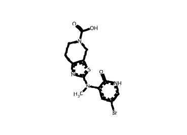 CN(c1nc2c(s1)CN(C(=O)O)CC2)c1cc(Br)c[nH]c1=O